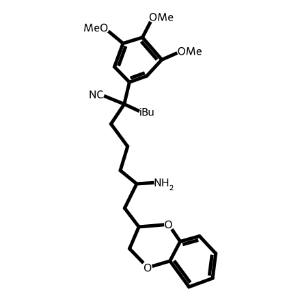 CCC(C)C(C#N)(CCCC(N)CC1COc2ccccc2O1)c1cc(OC)c(OC)c(OC)c1